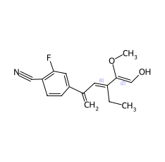 C=C(/C=C(CC)/C(=C/O)OC)c1ccc(C#N)c(F)c1